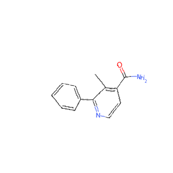 Cc1c(C(N)=O)ccnc1-c1ccccc1